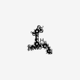 COc1ccc(S(C)(=O)=O)cc1NCC#Cc1cc(C(=O)N[C@H]2CCN(Cc3cccnc3)C[C@@H]2C)c2ncn(CC(F)(F)F)c2c1